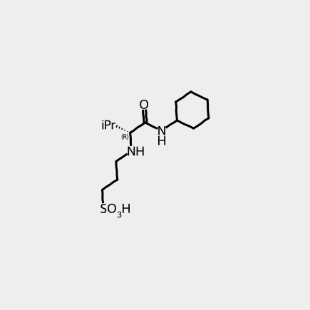 CC(C)[C@@H](NCCCS(=O)(=O)O)C(=O)NC1CCCCC1